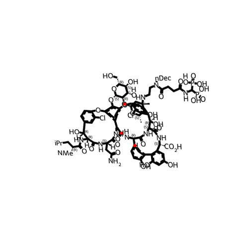 CCCCCCCCCCN(CCN[C@@]1(C)C[C@H](O[C@H]2[C@H](Oc3c4cc5cc3Oc3ccc(cc3Cl)[C@@H](O)[C@@H](NC(=O)[C@@H](CC(C)C)NC)C(=O)N[C@@H](CC(N)=O)C(=O)N[C@H]5C(=O)N[C@H]3C(=O)N[C@H](C(=O)N[C@H](C(=O)O)c5cc(O)cc(O)c5-c5cc3ccc5O)[C@H](O)c3ccc(c(Cl)c3)O4)O[C@H](CO)[C@@H](O)[C@@H]2O)O[C@@H](C)[C@H]1O)C(=O)CCC(=O)NC(P(=O)(O)O)P(=O)(O)O